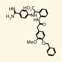 COc1cc(CC(=O)Nc2ccccc2C(Nc2ccc(C(=N)N)cc2)C(=O)O)ccc1OCc1ccccc1